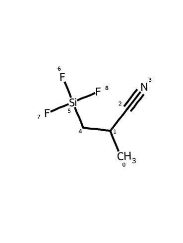 CC(C#N)C[Si](F)(F)F